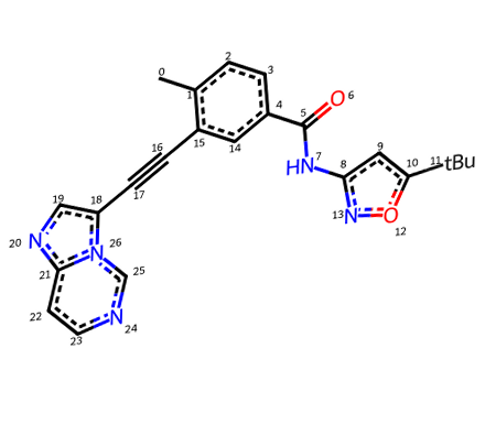 Cc1ccc(C(=O)Nc2cc(C(C)(C)C)on2)cc1C#Cc1cnc2ccncn12